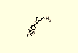 CCC(C)S(=O)(=O)c1ccc(OCC(F)=CCN)cc1